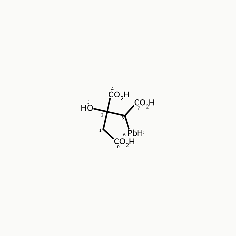 O=C(O)CC(O)(C(=O)O)[CH]([PbH])C(=O)O